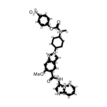 COc1cc2nn(C3CCC(N(C)C(=O)Oc4ccc([N+](=O)[O-])cc4)CC3)cc2cc1C(=O)Nc1cnc2cccnn12